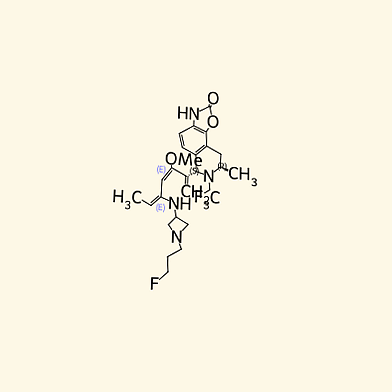 C=C(/C(=C\C(=C/C)NC1CN(CCCF)C1)OC)[C@@H]1c2ccc3[nH]c(=O)oc3c2C[C@@H](C)N1CC(F)(F)F